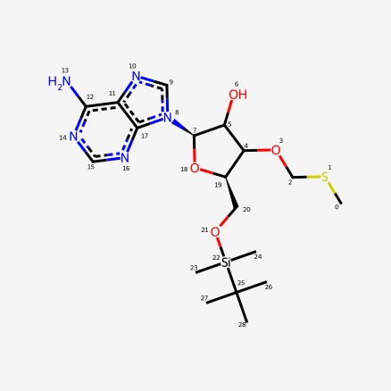 CSCOC1C(O)[C@H](n2cnc3c(N)ncnc32)O[C@@H]1CO[Si](C)(C)C(C)(C)C